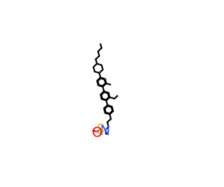 CCCCCC1CCC(c2ccc(-c3ccc(-c4ccc(CCCN(C)SOC)cc4)c(CC)c3)c(C)c2)CC1